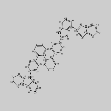 c1ccc(-c2ccccc2-c2ccc(-n3c4ccccc4c4ccccc43)cc2)c(-c2ccc(-c3nc4c(-c5ccc6ccccc6c5)cccc4o3)cc2)c1